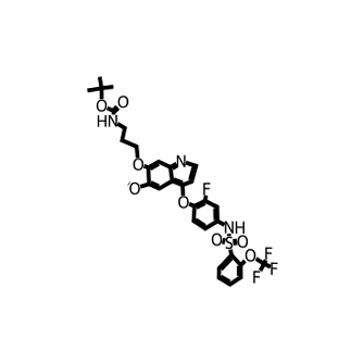 COc1cc2c(Oc3ccc(NS(=O)(=O)c4ccccc4OC(F)(F)F)cc3F)ccnc2cc1OCCCNC(=O)OC(C)(C)C